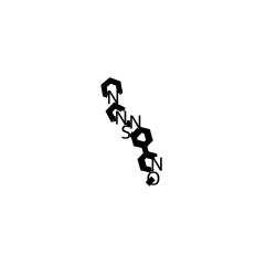 COc1ccc(-c2ccc3nc(N4CC[C@@H](N5CCCCC5)C4)sc3c2)cn1